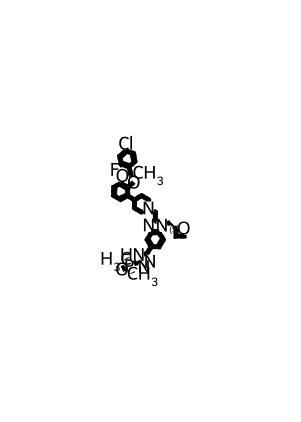 CC1(c2ccc(Cl)cc2F)Oc2cccc(C3CCN(Cc4nc5cc(-c6nnc(P(C)(C)=O)[nH]6)ccc5n4C[C@@H]4CCO4)CC3)c2O1